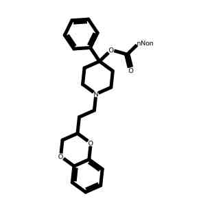 CCCCCCCCCC(=O)OC1(c2ccccc2)CCN(CCC2COc3ccccc3O2)CC1